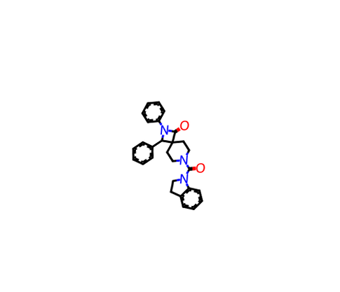 O=C(N1CCC2(CC1)C(=O)N(c1ccccc1)C2c1ccccc1)N1CCc2ccccc21